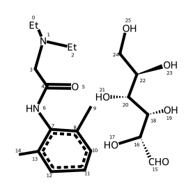 CCN(CC)CC(=O)Nc1c(C)cccc1C.O=C[C@H](O)[C@@H](O)[C@H](O)[C@H](O)CO